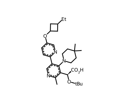 CCC1CC(Oc2ccc(-c3cnc(C)c([C@H](OC(C)(C)C)C(=O)O)c3N3CCC(C)(C)CC3)nc2)C1